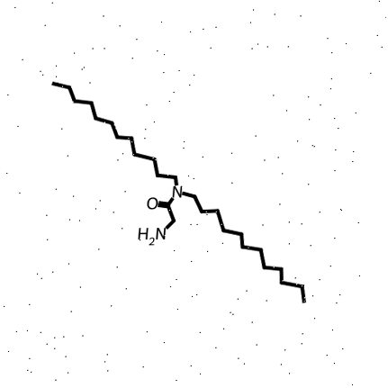 CCCCCCCCCCCCN(CCCCCCCCCCCC)C(=O)CN